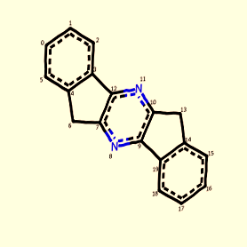 c1ccc2c(c1)Cc1nc3c(nc1-2)Cc1ccccc1-3